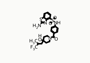 CC(CC1(O)CCN(C(=O)c2ccc(NS(=O)(=O)c3cccc4sc(N)nc34)cc2)CC1)C(F)(F)F